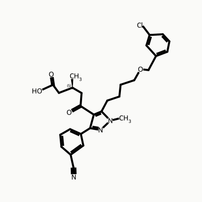 C[C@H](CC(=O)O)CC(=O)c1c(-c2cccc(C#N)c2)nn(C)c1CCCCOCc1cccc(Cl)c1